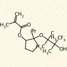 C=C(C)C(=O)OC1CCCC1(OC(C)(C)C(C)(O)C(F)(F)F)C(C)C